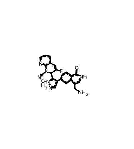 Cn1ncc(-c2ccc3c(=O)[nH]cc(CN)c3c2)c1C1C(F)=Cc2cccnc2N1C#N